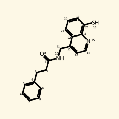 O=C(CCc1ccccc1)NCc1ccnc2c(S)cccc12